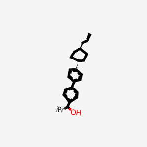 C=CC[C@H]1CC[C@H](c2ccc(-c3ccc(C(O)C(C)C)cc3)cc2)CC1